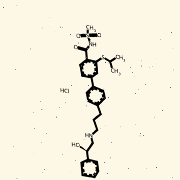 CC(C)Sc1cc(-c2ccc(CCCNC[C@H](O)c3ccccc3)cc2)ccc1C(=O)NS(C)(=O)=O.Cl